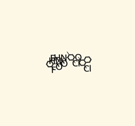 Cc1cc(Oc2ccc(Cl)c3ccccc23)c(Cl)cc1NC(=O)NC(=O)c1c(F)cccc1F